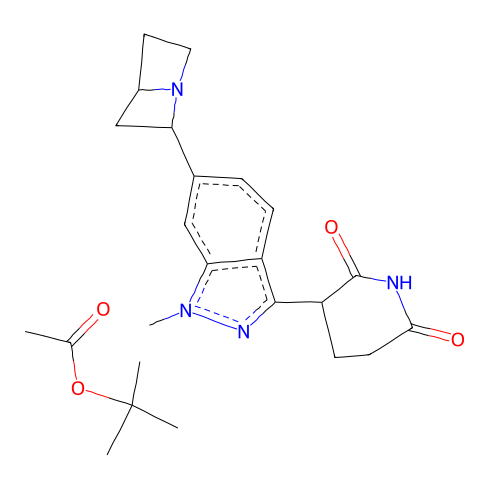 CC(=O)OC(C)(C)C.Cn1nc(C2CCC(=O)NC2=O)c2ccc(C3CC4CCN43)cc21